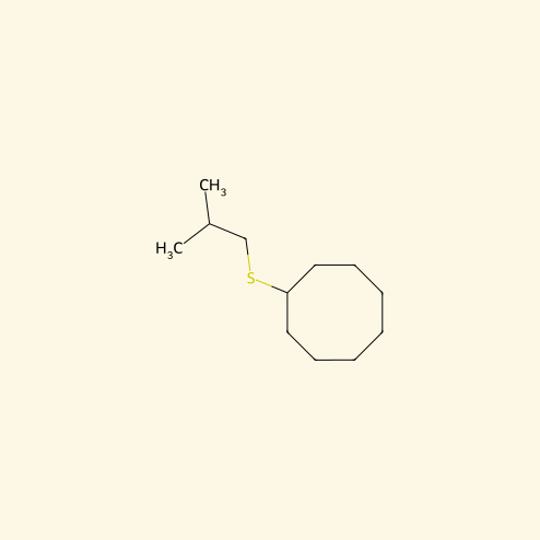 CC(C)CSC1CCCCCCC1